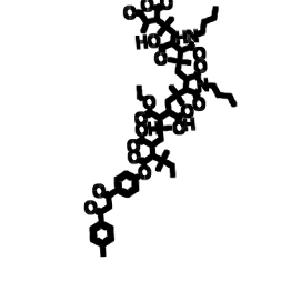 CCCCNC(=O)C(C(CC(C)(C)C1C(=O)OC(=O)C1C)C(=O)O)C(C)(C)CC1C(=O)N(CCCC)C(=O)C1C(C)(C)CC(C(=O)O)C(C(=O)OCC)C(C)(C)CC(C(=O)O)C(C(=O)Oc1ccc(C(=O)CC(=O)c2ccc(C)cc2)cc1)C(C)(C)CC